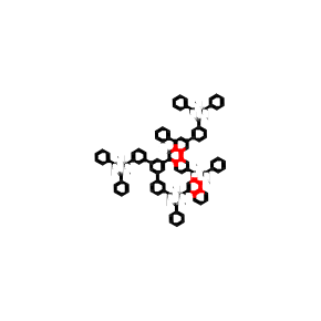 c1ccc(-c2nc(-c3ccccc3)nc(-c3cccc(-c4cc(-c5cccc(-c6nc(-c7ccccc7)nc(-c7ccccc7)n6)c5)cc(-c5ccccc5Oc5ccccc5-c5cc(-c6cccc(-c7nc(-c8ccccc8)nc(-c8ccccc8)n7)c6)cc(-c6cccc(-c7nc(-c8ccccc8)nc(-c8ccccc8)n7)c6)c5)c4)c3)n2)cc1